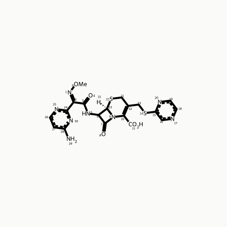 CO/N=C(\C(=O)NC1C(=O)N2C(C(=O)O)=C(CSc3cnccn3)CS[C@H]12)c1nccc(N)n1